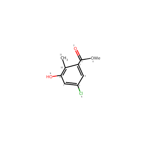 COC(=O)c1cc(Cl)cc(O)c1C